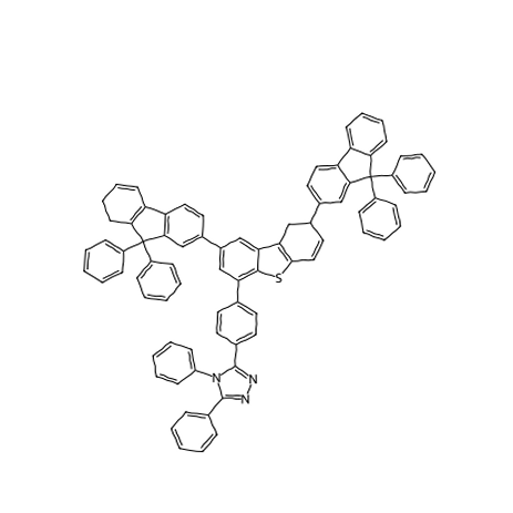 C1=CC2=C(CC1)C(c1ccccc1)(c1ccccc1)c1cc(-c3cc(-c4ccc(-c5nnc(-c6ccccc6)n5-c5ccccc5)cc4)c4sc5c(c4c3)CC(c3ccc4c(c3)C(c3ccccc3)(c3ccccc3)c3ccccc3-4)C=C5)ccc12